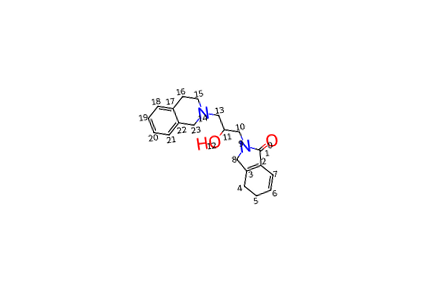 O=C1C2=C(CCC=C2)CN1CC(O)CN1CCc2ccccc2C1